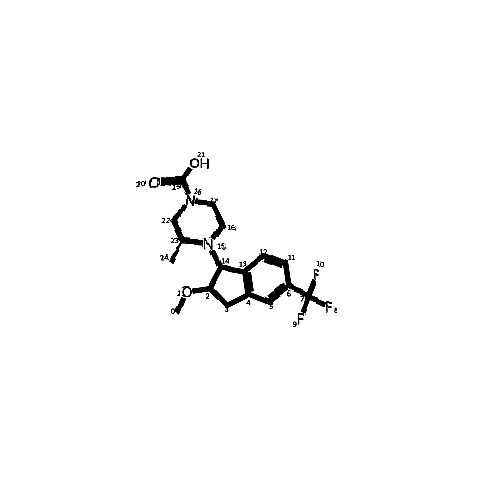 COC1Cc2cc(C(F)(F)F)ccc2C1N1CCN(C(=O)O)C[C@@H]1C